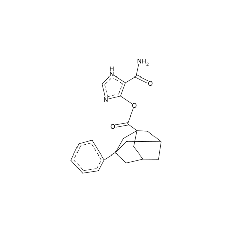 NC(=O)c1[nH]cnc1OC(=O)C12CC3CC(C1)CC(c1ccccc1)(C3)C2